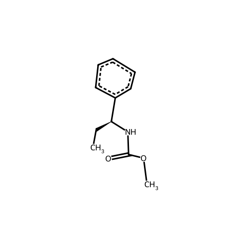 CC[C@H](NC(=O)OC)c1ccccc1